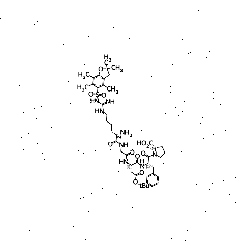 Cc1c(C)c(S(=O)(=O)NC(=N)NCCCC[C@H](N)C(=O)NCC(=O)N[C@@H](CC(=O)OC(C)(C)C)C(=O)N[C@@H](Cc2ccccc2)C(=O)N2CCC[C@H]2C(=O)O)c(C)c2c1OC(C)(C)C2